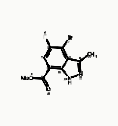 COC(=O)c1cc(F)c(Br)c2c(C)n[nH]c12